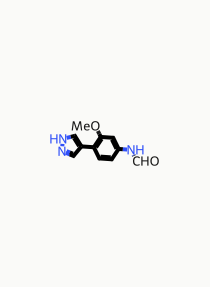 COc1cc(NC=O)ccc1-c1cn[nH]c1